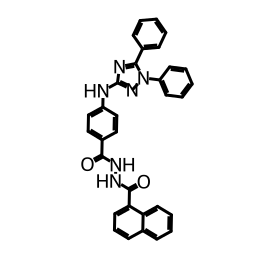 O=C(NNC(=O)c1cccc2ccccc12)c1ccc(Nc2nc(-c3ccccc3)n(-c3ccccc3)n2)cc1